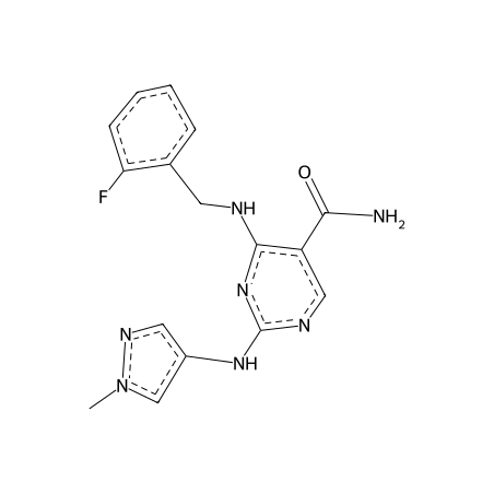 Cn1cc(Nc2ncc(C(N)=O)c(NCc3ccccc3F)n2)cn1